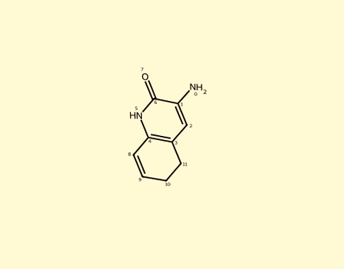 Nc1cc2c([nH]c1=O)C=CCC2